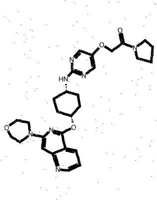 O=C(COc1cnc(N[C@H]2CC[C@@H](Oc3nc(N4CCOCC4)cc4ncccc34)CC2)nc1)N1CCCC1